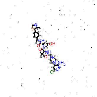 Cc1ncsc1-c1ccc(C(C)NC(=O)[C@@H]2C[C@@H](O)CN2C(=O)C(NC(=O)CN2CCN(c3cc(Cl)nnc3N)CC2)C(C)(C)C)cc1